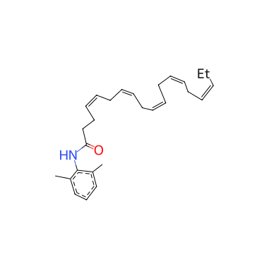 CC/C=C\C/C=C\C/C=C\C/C=C\C/C=C\CCC(=O)Nc1c(C)cccc1C